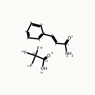 NC(=O)C=Cc1ccccc1.O=C(O)C(F)(F)F